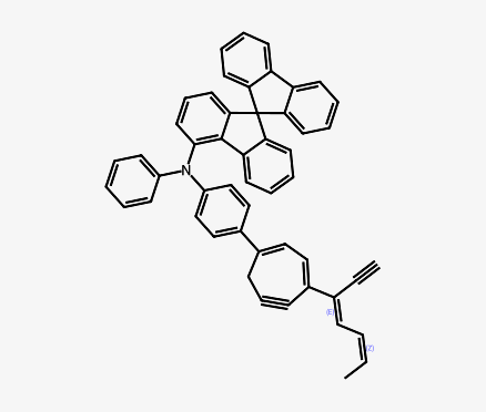 C#C/C(=C\C=C/C)C1=CC=C(c2ccc(N(c3ccccc3)c3cccc4c3-c3ccccc3C43c4ccccc4-c4ccccc43)cc2)CC#C1